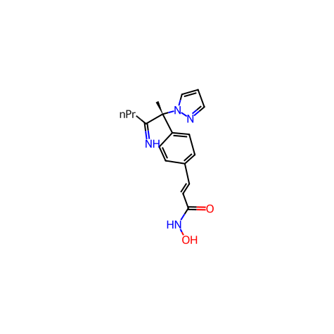 CCCC(=N)[C@@](C)(c1ccc(/C=C/C(=O)NO)cc1)n1cccn1